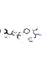 N#CCC1(n2cc(-c3ncnc4[nH]ccc34)cn2)CN(C2CCC(\N=C(/C=C(\C=C\O)CN3CCC(O)C3)C(F)(F)F)CC2)C1